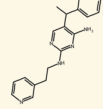 CC(c1ccccc1)c1cnc(NCCc2cccnc2)nc1N